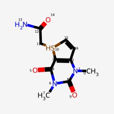 Cn1c2c(c(=O)n(C)c1=O)[SH](CC(N)=O)C=C2